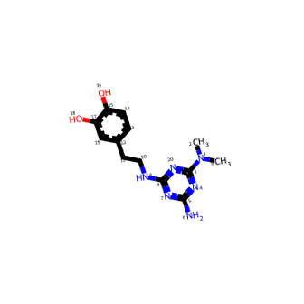 CN(C)c1nc(N)nc(NCCc2ccc(O)c(O)c2)n1